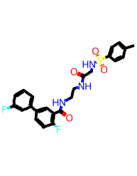 Cc1ccc(S(=O)(=O)NCC(=O)NCCNC(=O)c2cc(-c3cccc(F)c3)ccc2F)cc1